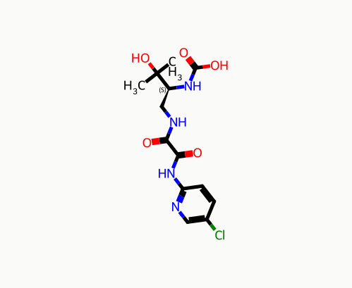 CC(C)(O)[C@H](CNC(=O)C(=O)Nc1ccc(Cl)cn1)NC(=O)O